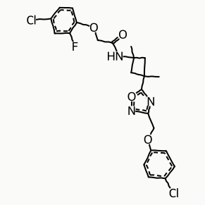 CC1(NC(=O)COc2ccc(Cl)cc2F)CC(C)(c2nc(COc3ccc(Cl)cc3)no2)C1